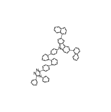 c1ccc(-c2nnc(-c3ccc(-c4ccccc4-c4ccccc4-c4ccc(-n5c6ccc(-c7cccc8ccccc78)cc6c6cc(-c7cccc8ccccc78)ccc65)cc4)cc3)n2-c2ccccc2)cc1